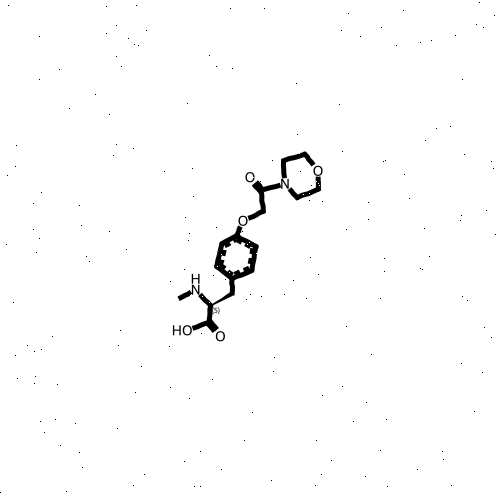 CN[C@@H](Cc1ccc(OCC(=O)N2CCOCC2)cc1)C(=O)O